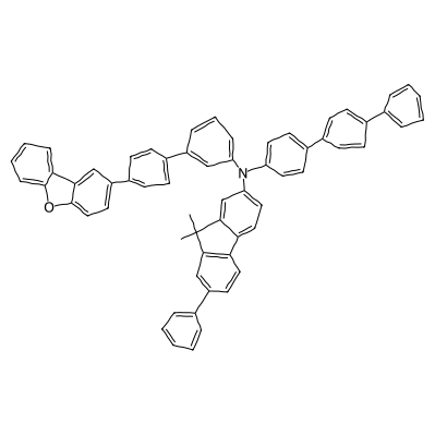 CC1(C)c2cc(-c3ccccc3)ccc2-c2ccc(N(c3ccc(-c4ccc(-c5ccccc5)cc4)cc3)c3cccc(-c4ccc(-c5ccc6oc7ccccc7c6c5)cc4)c3)cc21